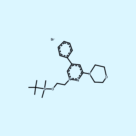 CC(C)(C)[Si](C)(C)OCC[n+]1cc(-c2ccccc2)cc(N2CCOCC2)n1.[Br-]